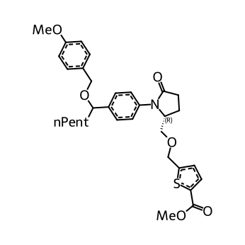 CCCCCC(OCc1ccc(OC)cc1)c1ccc(N2C(=O)CC[C@@H]2COCc2ccc(C(=O)OC)s2)cc1